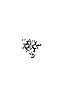 NC1C(O)OC(COS(=O)(=O)O)[C@@H](O[C@@H]2OC(C(=O)O)=C[C@H](O)C2O)[C@@H]1OOO